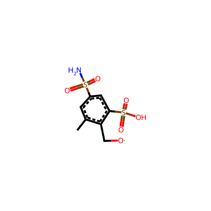 Cc1cc(S(N)(=O)=O)cc(S(=O)(=O)O)c1C[O]